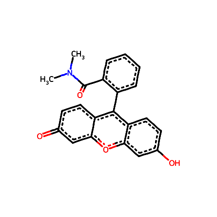 CN(C)C(=O)c1ccccc1-c1c2ccc(=O)cc-2oc2cc(O)ccc12